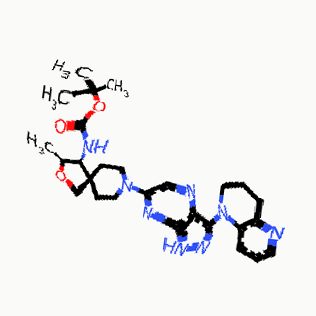 C[C@@H]1OCC2(CCN(c3cnc4c(N5CCCc6ncccc65)n[nH]c4n3)CC2)[C@@H]1NC(=O)OC(C)(C)C